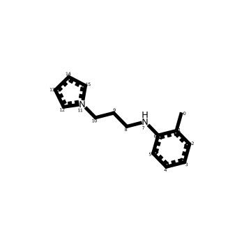 Cc1ccccc1NCCCn1cccc1